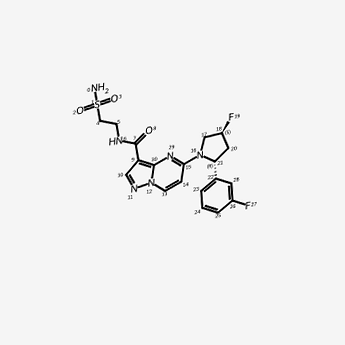 NS(=O)(=O)CCNC(=O)c1cnn2ccc(N3C[C@@H](F)C[C@@H]3c3cccc(F)c3)nc12